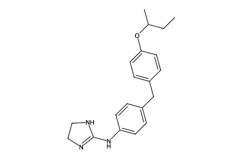 CCC(C)Oc1ccc(Cc2ccc(NC3=NCCN3)cc2)cc1